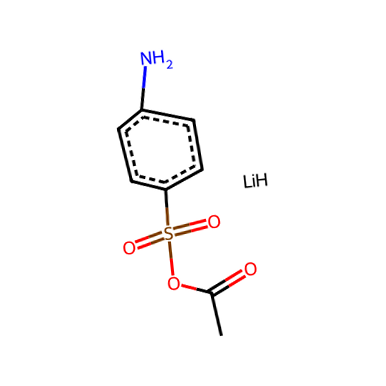 CC(=O)OS(=O)(=O)c1ccc(N)cc1.[LiH]